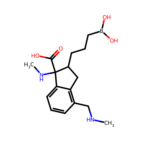 CNCc1cccc2c1CC(CCCB(O)O)C2(NC)C(=O)O